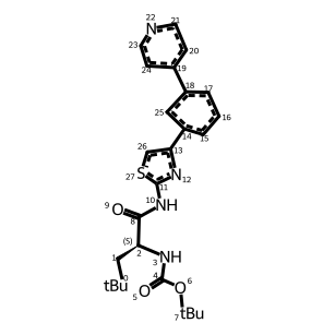 CC(C)(C)C[C@H](NC(=O)OC(C)(C)C)C(=O)Nc1nc(-c2cccc(-c3ccncc3)c2)cs1